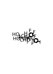 CC(C)(ONC(=O)c1cc(F)c(F)c(F)c1Nc1ccc(I)cc1F)C(O)CO